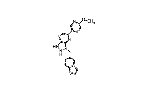 COc1ccc(-c2cnc3c(n2)N(Cc2ccc4nccn4c2)NN3)cn1